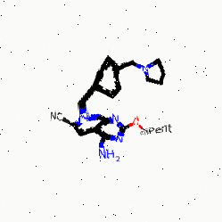 CCC[C@H](C)Oc1nc(N)c2cc(C#N)n(Cc3ccc(CN4CCCC4)cc3)c2n1